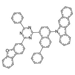 c1ccc(-c2ccc3c(-n4c5ccccc5c5cc6ccccc6cc54)ccc(-c4nc(-c5ccccc5)nc(-c5ccc6c(c5)oc5ccccc56)n4)c3c2)cc1